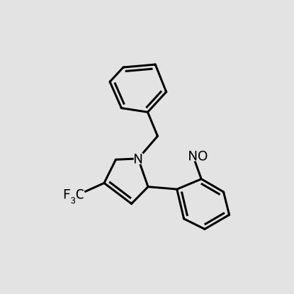 O=Nc1ccccc1C1C=C(C(F)(F)F)CN1Cc1ccccc1